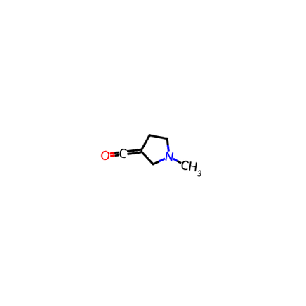 CN1CCC(=C=O)C1